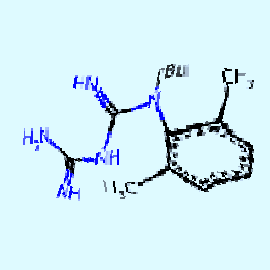 CCCCN(C(=N)NC(=N)N)c1c(C)cccc1C